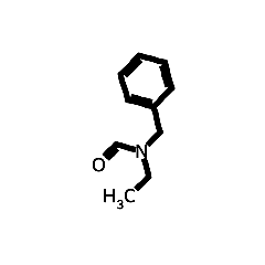 CCN(C=O)Cc1ccccc1